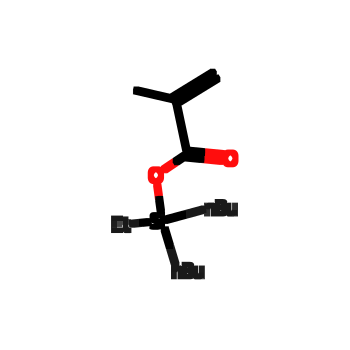 C=C(C)C(=O)O[Si](CC)(CCCC)CCCC